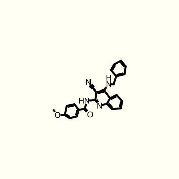 COc1ccc(C(=O)Nc2nc3ccccc3c(NCc3ccccc3)c2C#N)cc1